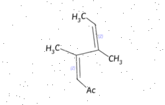 C/C=C(C)\C(C)=C/C(C)=O